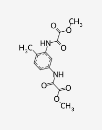 COC(=O)C(=O)Nc1ccc(C)c(NC(=O)C(=O)OC)c1